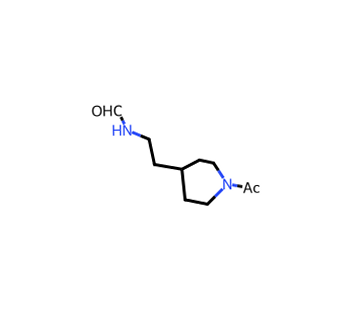 CC(=O)N1CCC(CCNC=O)CC1